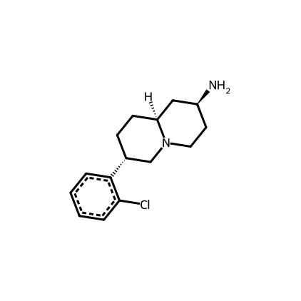 N[C@H]1CCN2C[C@H](c3ccccc3Cl)CC[C@H]2C1